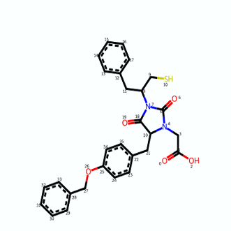 O=C(O)CN1C(=O)N(C(CS)Cc2ccccc2)C(=O)C1Cc1ccc(OCc2ccccc2)cc1